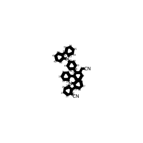 N#CCc1cccc(-c2ccccc2-n2c3ccccc3c3c(C#N)cccc32)c1-c1ccc(-n2c3ccccc3c3ccccc32)cc1